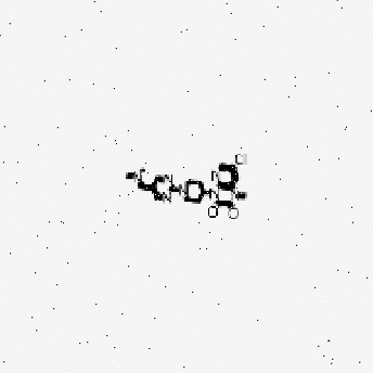 CN(C)Cc1cnc(N2CCC(n3c(=O)c(=O)n(C)c4cc(Cl)cnc43)CC2)nc1